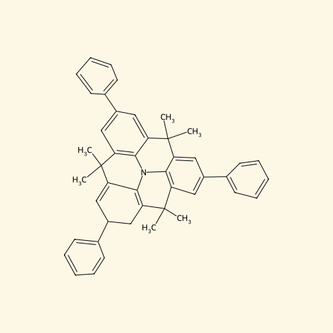 CC1(C)C2=CC(c3ccccc3)CC3=C2N2c4c1cc(-c1ccccc1)cc4C(C)(C)c1cc(-c4ccccc4)cc(c12)C3(C)C